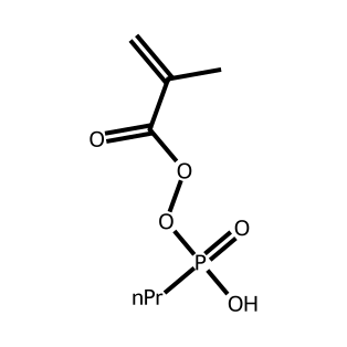 C=C(C)C(=O)OOP(=O)(O)CCC